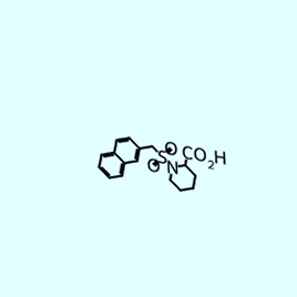 O=C(O)C1CCCCN1S(=O)(=O)Cc1ccc2ccccc2c1